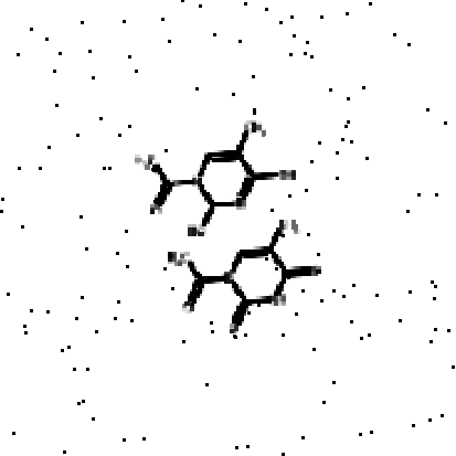 CC(=O)N1C=C(C)C(O)=NC1O.CC(=O)n1cc(C)c(=O)[nH]c1=O